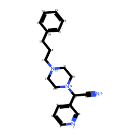 N#CC(c1cccnc1)N1CCN(CCCc2ccccc2)CC1